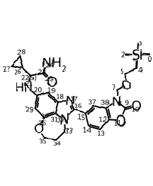 C[Si](C)(C)CCOCn1c(=O)oc2ccc(-c3nc4cc(N[C@H](C(N)=O)C5CC5)cc5c4n3CCCO5)cc21